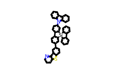 c1ccc2c(c1)-c1ccccc1[Si]21c2cc(-c3ccc4sc5cccnc5c4c3)ccc2-c2ccc(-n3c4ccccc4c4ccccc43)cc21